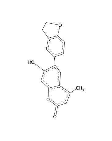 Cc1cc(=O)oc2cc(O)c(-c3ccc4c(c3)CCO4)cc12